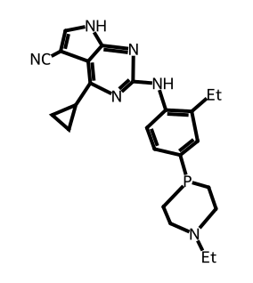 CCc1cc(P2CCN(CC)CC2)ccc1Nc1nc(C2CC2)c2c(C#N)c[nH]c2n1